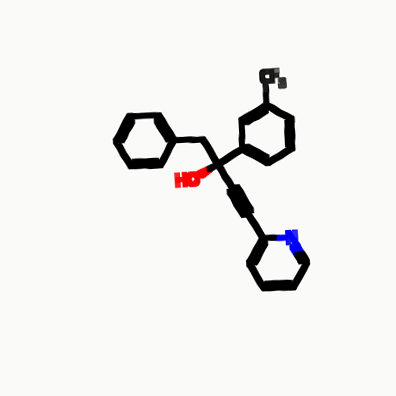 O[C@@](C#Cc1ccccn1)(Cc1ccccc1)c1cccc(C(F)(F)F)c1